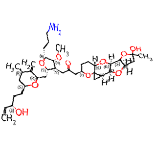 C=C[C@@H](O)CC[C@H]1C[C@@H](C)C(=C)[C@@H](C[C@@H]2O[C@H](CCCN)[C@H](OC)[C@H]2CC(=O)C[C@H]2CC[C@@H]3O[C@@H]4[C@@H](O[C@@H]5CC(C)(O)O[C@H]45)[C@H]4CC34O2)O1